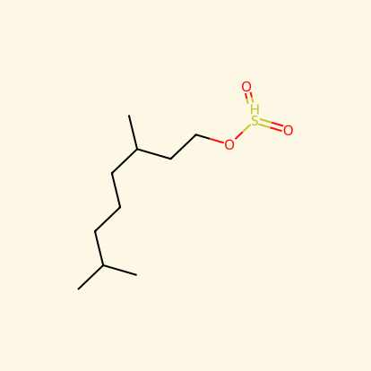 CC(C)CCCC(C)CCO[SH](=O)=O